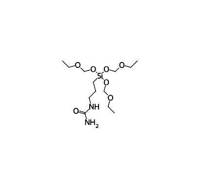 CCOCO[Si](CCCNC(N)=O)(OCOCC)OCOCC